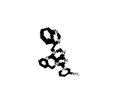 NC1CCCN(c2nc3ncn(Cc4ncnc5ccccc45)c(=O)c3n2Cc2ccccc2)C1